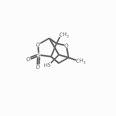 CC12CC3C(C)(O1)C(OS3(=O)=O)C2S